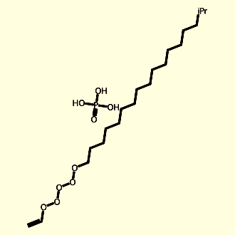 C=COOOOOCCCCCCCCCCCCCCCC(C)C.O=P(O)(O)O